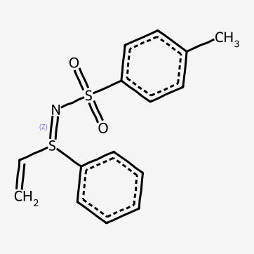 C=C/S(=N/S(=O)(=O)c1ccc(C)cc1)c1ccccc1